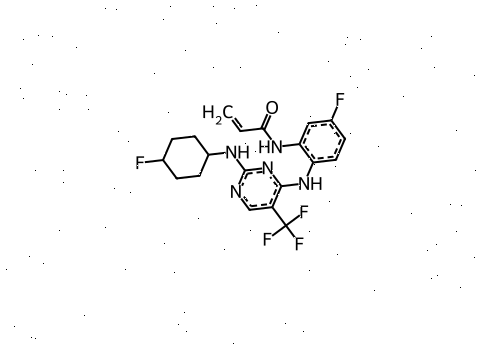 C=CC(=O)Nc1cc(F)ccc1Nc1nc(NC2CCC(F)CC2)ncc1C(F)(F)F